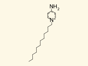 CCCCCCCCCCCC[n+]1ccc(N)cc1